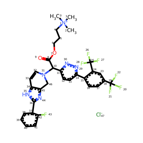 C[N+](C)(C)CCCOC(=O)C(c1ccc(-c2ccc(C(F)(F)F)cc2C(F)(F)F)nn1)N1C=Cc2[nH]c(-c3ccccc3F)nc2C1.[Cl-]